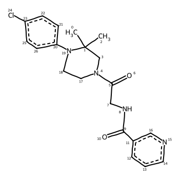 CC1(C)CN(C(=O)CNC(=O)c2cccnc2)CCN1c1ccc(Cl)cc1